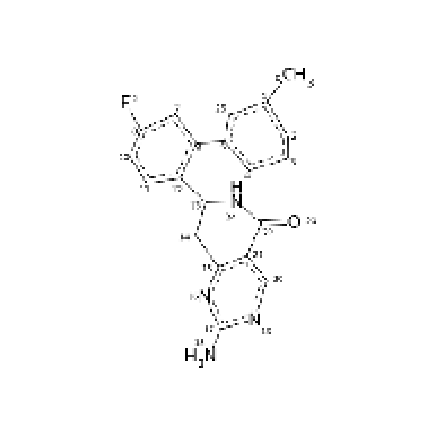 Cc1cccc(-c2cc(F)ccc2C2Cc3nc(N)ncc3C(=O)N2)c1